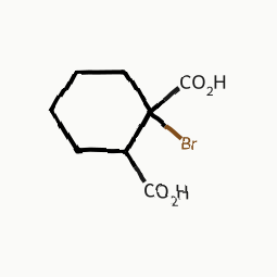 O=C(O)C1CCCCC1(Br)C(=O)O